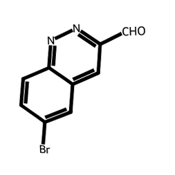 O=Cc1cc2cc(Br)ccc2nn1